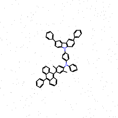 Cc1cc(N(c2ccccc2)c2ccc(-n3c4ccc(-c5ccccc5)cc4c4cc(-c5ccccc5)ccc43)cc2)c(C)cc1-c1c2ccccc2c(-c2ccccc2)c2ccccc12